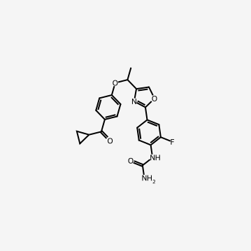 CC(Oc1ccc(C(=O)C2CC2)cc1)c1coc(-c2ccc(NC(N)=O)c(F)c2)n1